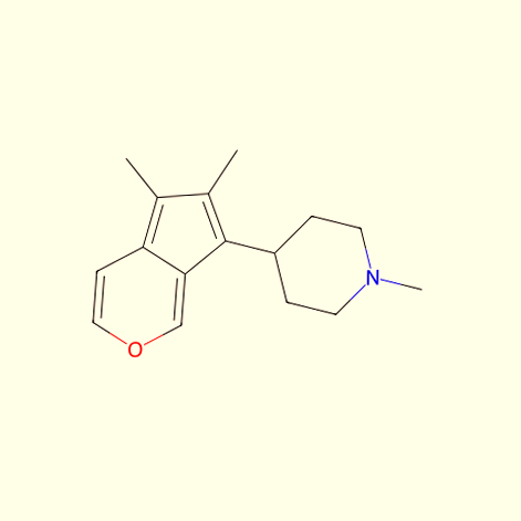 Cc1c2ccocc-2c(C2CCN(C)CC2)c1C